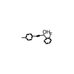 Cc1ccc(C#CC(O)c2ccccc2F)cc1